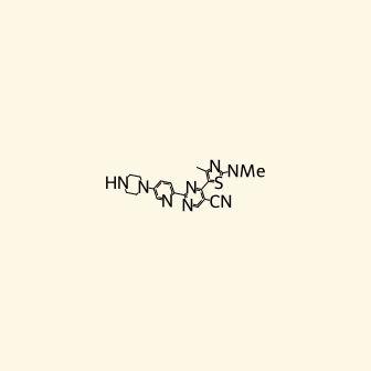 CNc1nc(C)c(-c2nc(-c3ccc(N4CCNCC4)cn3)ncc2C#N)s1